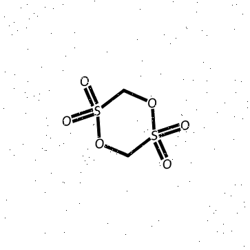 O=S1(=O)COS(=O)(=O)CO1